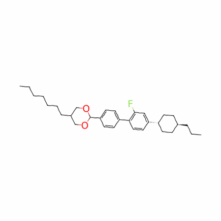 CCCCCCCC1COC(c2ccc(-c3ccc([C@H]4CC[C@H](CCC)CC4)cc3F)cc2)OC1